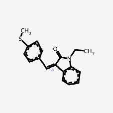 CCN1C(=O)/C(=C\c2ccc(SC)cc2)c2ccccc21